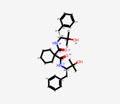 CC(C)(O)[C@@H](Cc1ccccc1)NC(=O)C1(C(=O)N[C@H](Cc2ccccc2)C(C)(C)O)CCCCC1